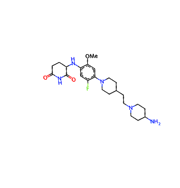 COc1cc(N2CCC(CCN3CCC(N)CC3)CC2)c(F)cc1NC1CCC(=O)NC1=O